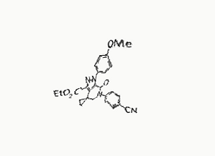 CCOC(=O)c1nn(-c2ccc(OC)cc2)c2c1C1(CC1)CN(c1ccc(C#N)cc1)C2=O